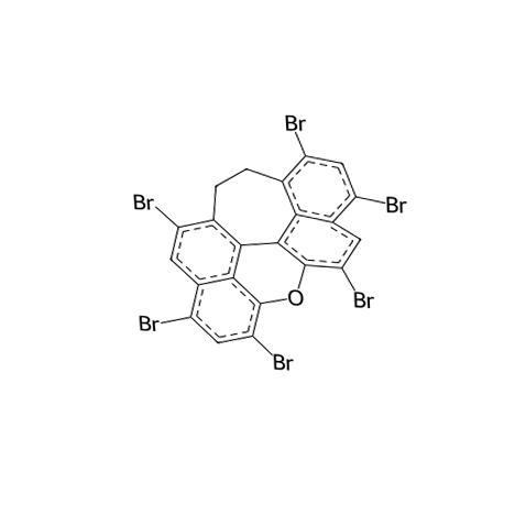 Brc1cc2c(Br)cc(Br)c3c2c2c1CCc1c(Br)cc(Br)c4cc(Br)c(c-2c14)O3